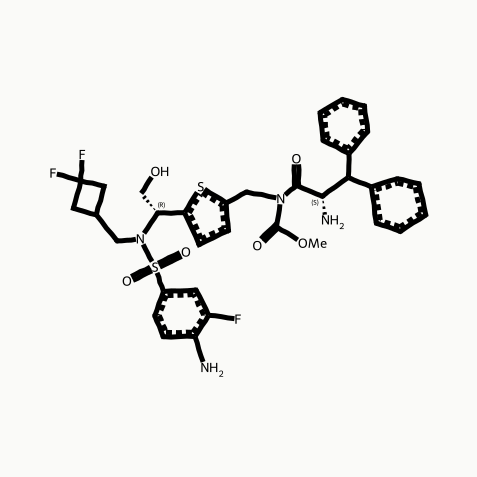 COC(=O)N(Cc1ccc([C@@H](CO)N(CC2CC(F)(F)C2)S(=O)(=O)c2ccc(N)c(F)c2)s1)C(=O)[C@@H](N)C(c1ccccc1)c1ccccc1